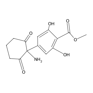 COC(=O)c1c(O)cc(C2(N)C(=O)CCCC2=O)cc1O